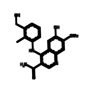 COc1cc2ncc(C(N)=O)c(Nc3cccc(CO)c3C)c2cc1O